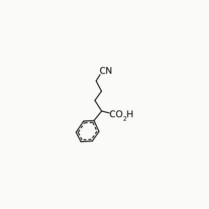 N#CCCCC(C(=O)O)c1ccccc1